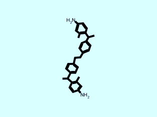 Cc1cc(N)ccc1C(C)c1ccc(CCc2ccc(C(C)c3ccc(N)cc3C)cc2)cc1